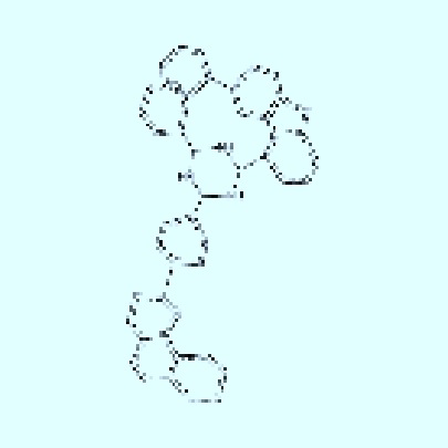 c1ccc(-c2ccc3oc4cccc(C5NC(c6ccccc6)NC(c6ccc(-c7ccc8ccc9ccccc9c8c7)cc6)N5)c4c3c2)cc1